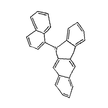 c1ccc2cc3c(cc2c1)c1ccccc1n3-c1cccc2ccccc12